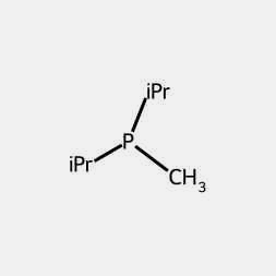 CC(C)P(C)C(C)C